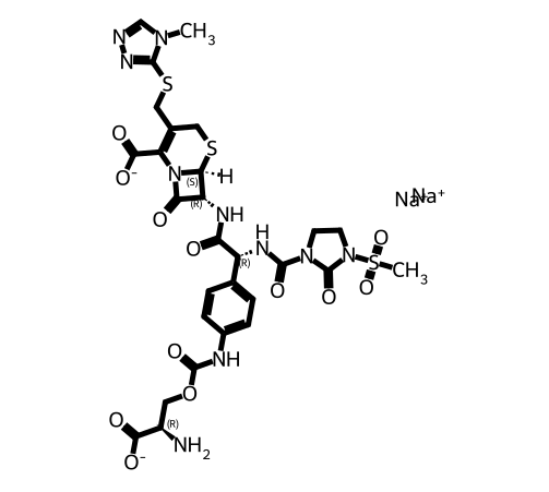 Cn1cnnc1SCC1=C(C(=O)[O-])N2C(=O)[C@@H](NC(=O)[C@H](NC(=O)N3CCN(S(C)(=O)=O)C3=O)c3ccc(NC(=O)OC[C@@H](N)C(=O)[O-])cc3)[C@@H]2SC1.[Na+].[Na+]